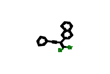 BrC(Br)=C(C#Cc1ccccc1)c1ccc2ccccc2c1